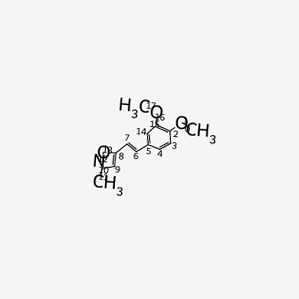 COc1ccc(C=Cc2cc(C)no2)cc1OC